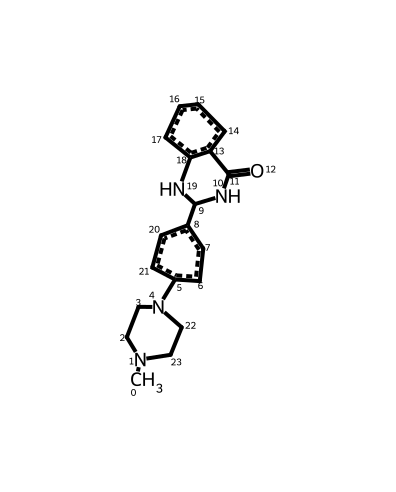 CN1CCN(c2ccc(C3NC(=O)c4ccccc4N3)cc2)CC1